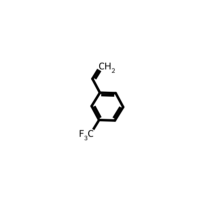 C=Cc1cccc(C(F)(F)F)c1